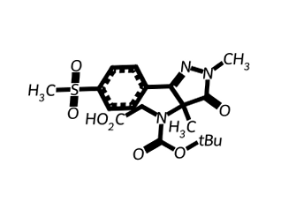 CN1N=C(c2ccc(S(C)(=O)=O)cc2)C(C)(N(CC(=O)O)C(=O)OC(C)(C)C)C1=O